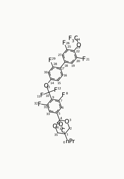 CCCC12COC(c3cc(F)c(C(F)(F)Oc4ccc(-c5cc(F)c(OC(F)(F)F)c(F)c5)c(F)c4)c(F)c3)(OC1)OC2